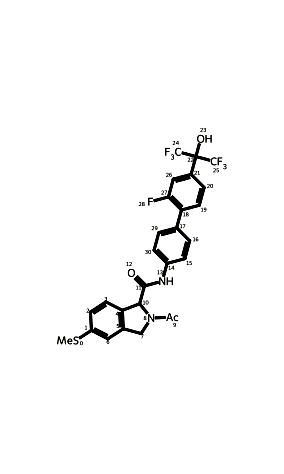 CSc1ccc2c(c1)CN(C(C)=O)C2C(=O)Nc1ccc(-c2ccc(C(O)(C(F)(F)F)C(F)(F)F)cc2F)cc1